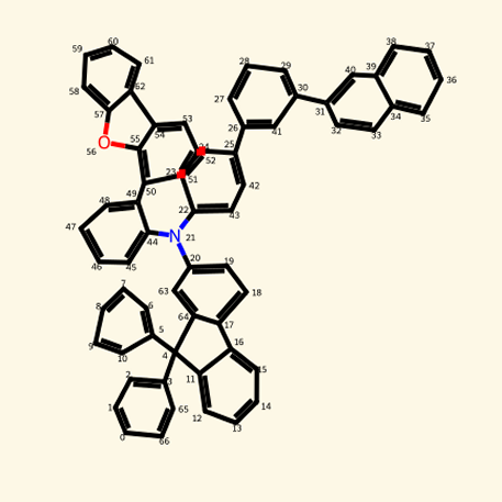 c1ccc(C2(c3ccccc3)c3ccccc3-c3ccc(N(c4ccc(-c5cccc(-c6ccc7ccccc7c6)c5)cc4)c4ccccc4-c4cccc5c4oc4ccccc45)cc32)cc1